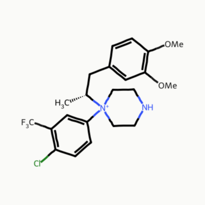 COc1ccc(C[C@@H](C)[N+]2(c3ccc(Cl)c(C(F)(F)F)c3)CCNCC2)cc1OC